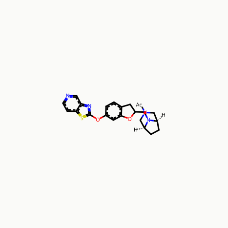 CC(=O)N1C[C@H]2CC[C@@H](C1)N2CC1Cc2ccc(Oc3nc4cnccc4s3)cc2O1